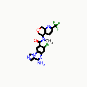 CN(C(=O)c1cc2c(cc1Br)nc(N)c1cncn12)C1COCc2nc(C(F)(F)F)ccc21